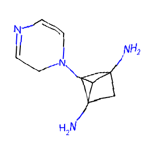 NC12CC(N)(C1)C2N1C=CN=CC1